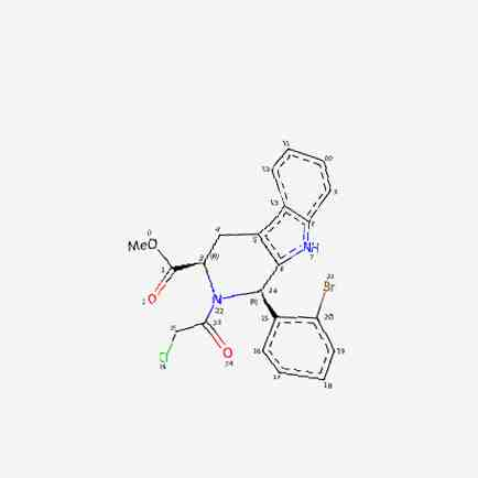 COC(=O)[C@H]1Cc2c([nH]c3ccccc23)[C@@H](c2ccccc2Br)N1C(=O)CCl